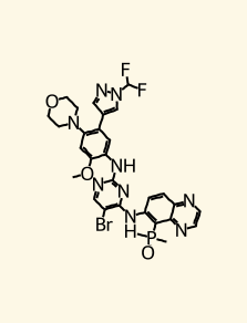 COc1cc(N2CCOCC2)c(-c2cnn(C(F)F)c2)cc1Nc1ncc(Br)c(Nc2ccc3nccnc3c2P(C)(C)=O)n1